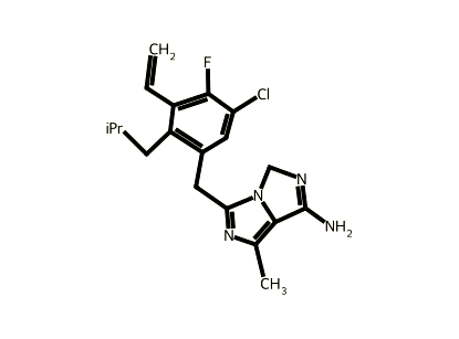 C=Cc1c(F)c(Cl)cc(Cc2nc(C)c3n2CN=C3N)c1CC(C)C